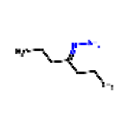 CCCC(CCC)=NN